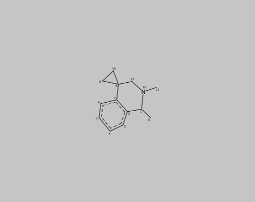 CC1c2ccccc2C2(CC2)CN1C